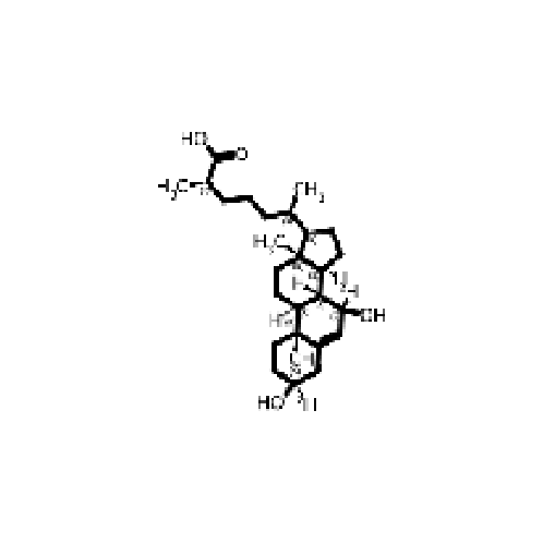 [2H][C@]1(O)CC[C@@]2(C)C(=C[C@@]([2H])(O)[C@H]3[C@@H]4CC[C@H]([C@H](C)CCC[C@@H](C)C(=O)O)[C@@]4(C)CC[C@@H]32)C1